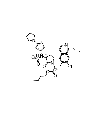 CCCCOC(=O)[C@@H](Cc1cc2ccnc(N)c2cc1Cl)N1CC[C@H](N(c2cnc(N3CCCC3)s2)[SH](=O)=O)C1=O